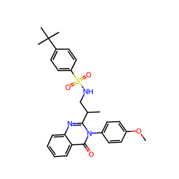 COc1ccc(-n2c(C(C)CNS(=O)(=O)c3ccc(C(C)(C)C)cc3)nc3ccccc3c2=O)cc1